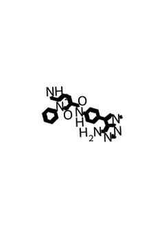 Cn1cc(-c2ccc(NC(=O)c3ccc(CN)n(-c4ccccc4)c3=O)cc2)c2c(N)ncnc21